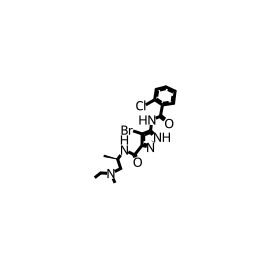 CCN(C)C[C@@H](C)NC(=O)c1n[nH]c(NC(=O)c2ccccc2Cl)c1Br